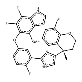 CSc1c(Oc2ccc(F)c(-c3nc([C@@]4(C)CCOc5c(Br)cccc54)c[nH]3)c2)c(F)c(F)c2[nH]ccc12